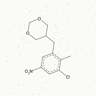 Cc1c(Cl)cc([N+](=O)[O-])cc1CC1COCOC1